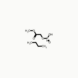 CCCC.COC(=O)CO[PH](=O)O